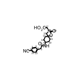 N#Cc1ccc(CC(=O)NC2CCC3(CC2)CN(CC(=O)O)C(=O)O3)cc1